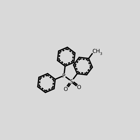 Cc1ccc(S(=O)(=O)P(c2ccccc2)c2ccccc2)cc1